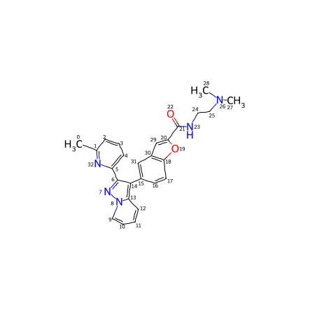 Cc1cccc(-c2nn3ccccc3c2-c2ccc3oc(C(=O)NCCN(C)C)cc3c2)n1